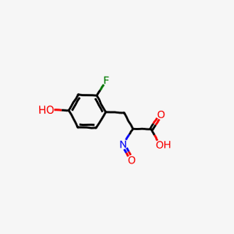 O=NC(Cc1ccc(O)cc1F)C(=O)O